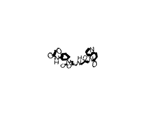 O=C1COc2ccc(N3C[C@@H](CNCC4Cn5c(=O)ccc6nccc(c65)O4)OC3=O)cc2N1